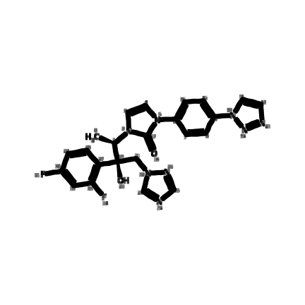 C[C@@H](n1ccn(-c2ccc(-n3ccnn3)cc2)c1=O)[C@](O)(Cn1cncn1)c1ccc(F)cc1F